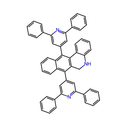 c1ccc(-c2cc(-c3c4c(c(-c5cc(-c6ccccc6)nc(-c6ccccc6)c5)c5ccccc35)-c3ccccc3NC4)cc(-c3ccccc3)n2)cc1